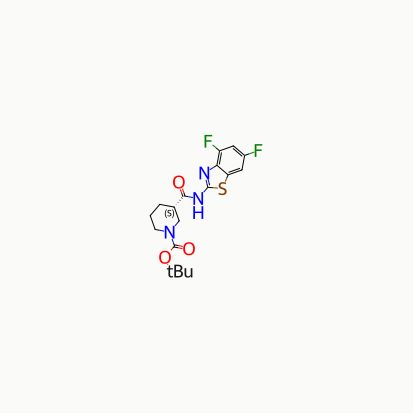 CC(C)(C)OC(=O)N1CCC[C@H](C(=O)Nc2nc3c(F)cc(F)cc3s2)C1